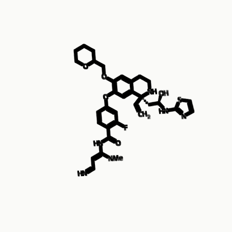 C=C[C@]1(C[C@@H](O)Nc2nccs2)NCCc2cc(OCC3CCCCO3)c(Oc3ccc(C(=O)N/C(=C/C=N)NC)c(F)c3)cc21